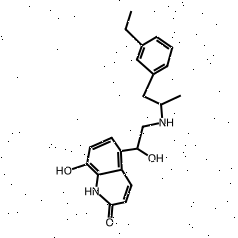 CCc1cccc(CC(C)NCC(O)c2ccc(O)c3[nH]c(=O)ccc23)c1